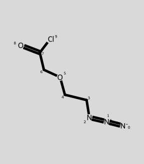 [N-]=[N+]=NCCOCC(=O)Cl